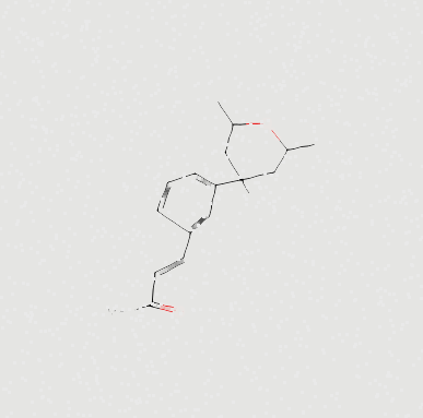 COC(=O)C=Cc1cccc(C2(C(=O)O)CC(C)OC(C)C2)c1